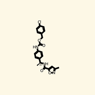 Cc1cc(C(=O)N[C@@H](C)c2ccc(NC(=O)OCc3ccc(Cl)cc3)cc2)on1